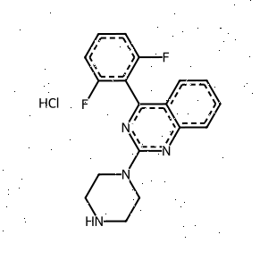 Cl.Fc1cccc(F)c1-c1nc(N2CCNCC2)nc2ccccc12